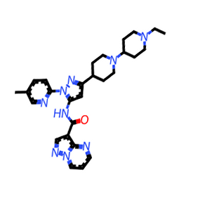 CCN1CCC(N2CCC(c3cc(NC(=O)c4cnn5cccnc45)n(-c4ccc(C)cn4)n3)CC2)CC1